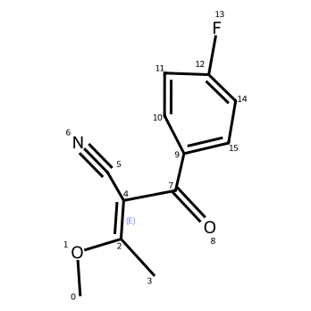 CO/C(C)=C(\C#N)C(=O)c1ccc(F)cc1